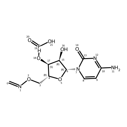 C=NOC[C@H]1O[C@@H](n2ccc(N)nc2=O)[C@H](O)[C@@H]1O[PH](=O)O